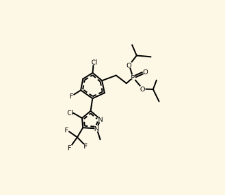 CC(C)OP(=O)(CCc1cc(-c2nn(C)c(C(F)(F)F)c2Cl)c(F)cc1Cl)OC(C)C